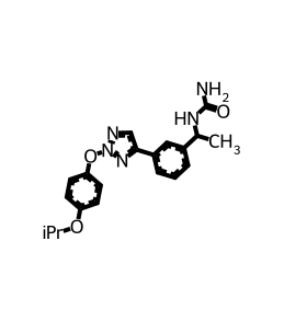 CC(C)Oc1ccc(On2ncc(-c3cccc(C(C)NC(N)=O)c3)n2)cc1